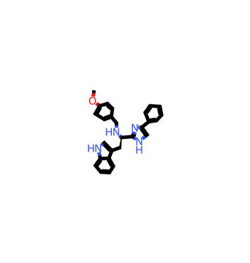 COc1ccc(CN[C@H](Cc2c[nH]c3ccccc23)c2nc(-c3ccccc3)c[nH]2)cc1